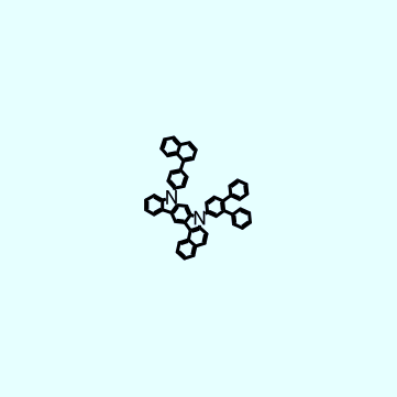 c1ccc(-c2ccc(-n3c4cc5c(cc4c4c6ccccc6ccc43)c3ccccc3n5-c3ccc(-c4cccc5ccccc45)cc3)cc2-c2ccccc2)cc1